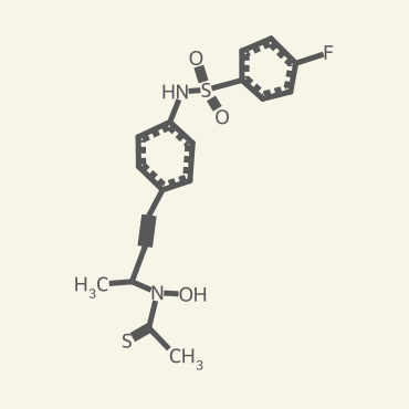 CC(=S)N(O)C(C)C#Cc1ccc(NS(=O)(=O)c2ccc(F)cc2)cc1